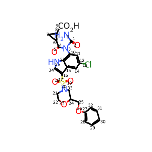 NC(=O)N(C(=O)C1CC1C(=O)O)c1cc(Cl)cc2c(S(=O)(=O)N3CCOC(COc4ccccc4)C3)c[nH]c12